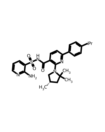 CC(C)c1ccc(-c2ccc(C(=O)NS(=O)(=O)c3cccnc3N)c(N3C[C@@H](C)CC3(C)C)n2)cc1